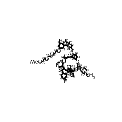 C=N/C(=N\C(=C/C)COc1ccc2cc1C[C@H](C(=O)O)Oc1ncnc3sc(-c4ccc(F)cc4)c(c13)-c1c(C)c(Cl)c(c(Cl)c1C)O[C@H](CN1CCN(C)CC1)CO2)c1cccc(OCCOCCOCCOC)c1